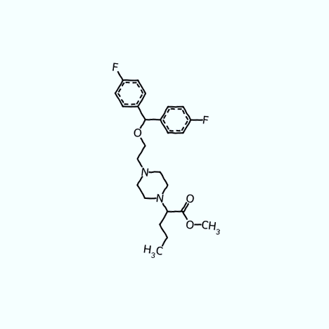 CCCC(C(=O)OC)N1CCN(CCOC(c2ccc(F)cc2)c2ccc(F)cc2)CC1